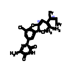 CCC/C=C(\C(/C=C1/Oc2c(Cl)cc(-n3nc(N)c(=O)[nH]c3=O)cc2N1Cl)=C(N)N)C(C)C